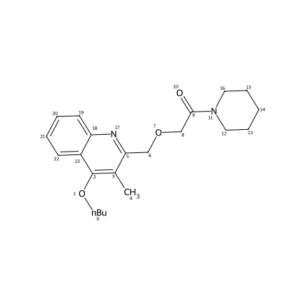 CCCCOc1c(C)c(COCC(=O)N2CCCCC2)nc2ccccc12